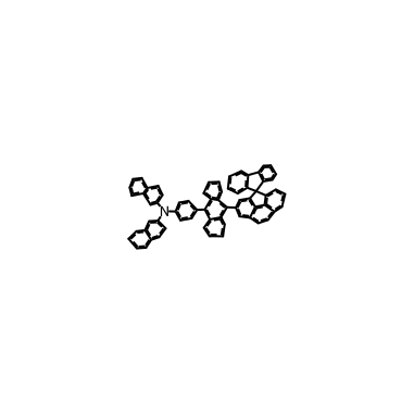 c1ccc2c(c1)-c1ccccc1C21c2cccc3ccc4cc(-c5c6ccccc6c(-c6ccc(N(c7ccc8ccccc8c7)c7ccc8ccccc8c7)cc6)c6ccccc56)cc1c4c23